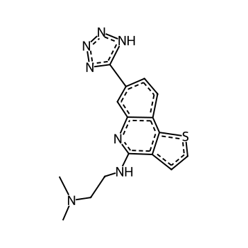 CN(C)CCNc1nc2cc(-c3nnn[nH]3)ccc2c2sccc12